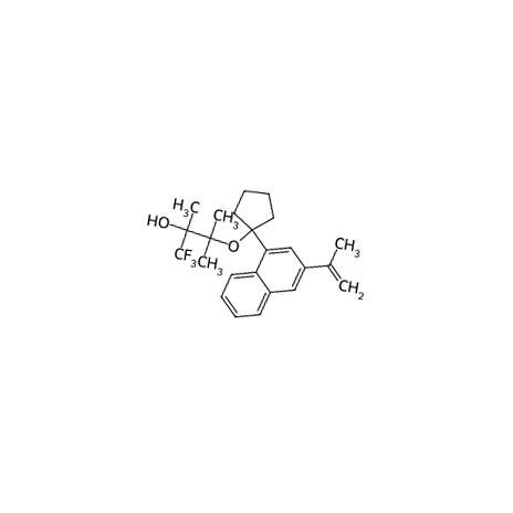 C=C(C)c1cc(C2(OC(C)(C)C(C)(O)C(F)(F)F)CCCC2)c2ccccc2c1